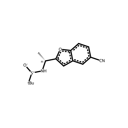 C[C@@H](N[S+]([O-])C(C)(C)C)c1cc2cc(C#N)ccc2o1